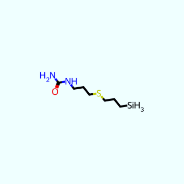 NC(=O)NCCCSCCC[SiH3]